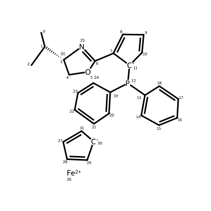 CC(C)[C@H]1COC(c2ccc[c-]2P(c2ccccc2)c2ccccc2)=N1.[Fe+2].c1cc[cH-]c1